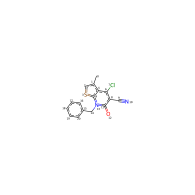 Cc1csc2c1c(Cl)c(C#N)c(=O)n2Cc1ccccc1